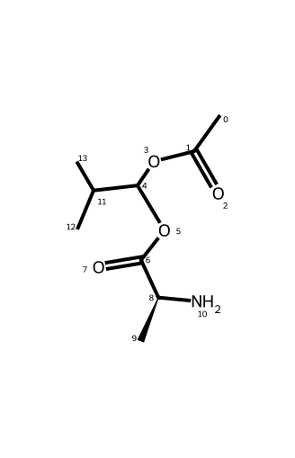 CC(=O)OC(OC(=O)[C@H](C)N)C(C)C